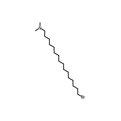 CN(C)CCCCCCCCCCCCCCCCBr